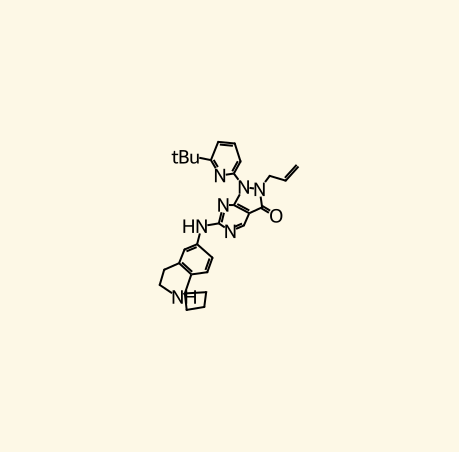 C=CCn1c(=O)c2cnc(Nc3ccc4c(c3)CCNC43CCC3)nc2n1-c1cccc(C(C)(C)C)n1